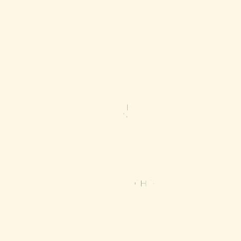 C#CC1=CC(C=O)CC[SH]1Cc1ccccc1